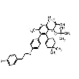 Cc1nc(C)c([C@H](OC(C)(C)C)C(=O)O)c(C2=CCC(C)(C)CC2)c1-c1ccc(OCCc2ccc(F)cc2)cc1